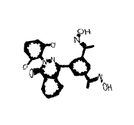 CC(=NO)c1cc(C(C)=NO)cc(-c2nn(-c3c(Cl)cccc3Cl)c(=O)c3ccccc23)c1